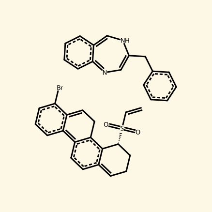 C1=C(Cc2ccccc2)NC=c2ccccc2=N1.C=CS(=O)(=O)[C@@H]1CCC=c2ccc3c(c21)CC=c1c(Br)cccc1=3